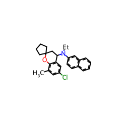 CCN(c1ccc2ccccc2c1)C1CC2(CCCC2)Oc2c(C)cc(Cl)cc21